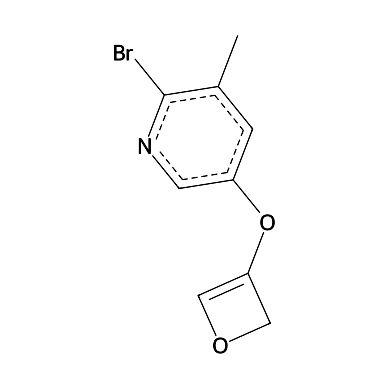 Cc1cc(OC2=COC2)cnc1Br